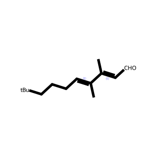 CC(=C\C=O)/C(C)=C/CCCC(C)(C)C